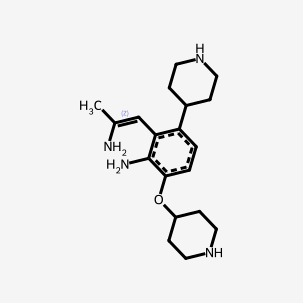 C/C(N)=C/c1c(C2CCNCC2)ccc(OC2CCNCC2)c1N